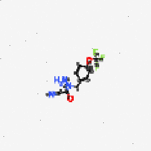 N#CC(=O)N(N)Cc1ccc(OC(F)(F)F)cc1